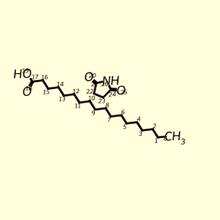 CCCCCCCCCCCCCCCCCC(=O)O.O=C1CCC(=O)N1